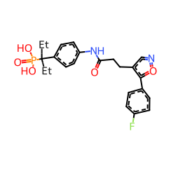 CCC(CC)(c1ccc(NC(=O)CCc2cnoc2-c2ccc(F)cc2)cc1)P(=O)(O)O